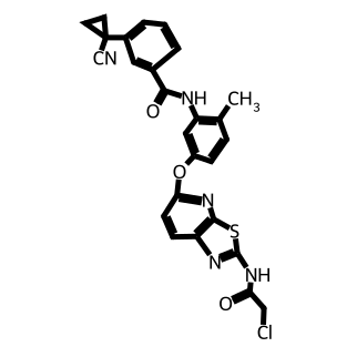 Cc1ccc(Oc2ccc3nc(NC(=O)CCl)sc3n2)cc1NC(=O)c1cccc(C2(C#N)CC2)c1